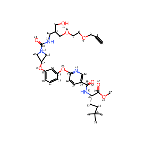 C#CCOCCOCC(CO)CNC(=O)N1CC(Oc2cccc(Oc3ccc(C(=O)N[C@@H](CCC(C)(C)C)C(=O)OC)cn3)c2)C1